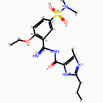 CCCc1nc(C)c(C(=O)NC(=N)c2cc(S(=O)(=O)N(C)C)ccc2OCC)[nH]1